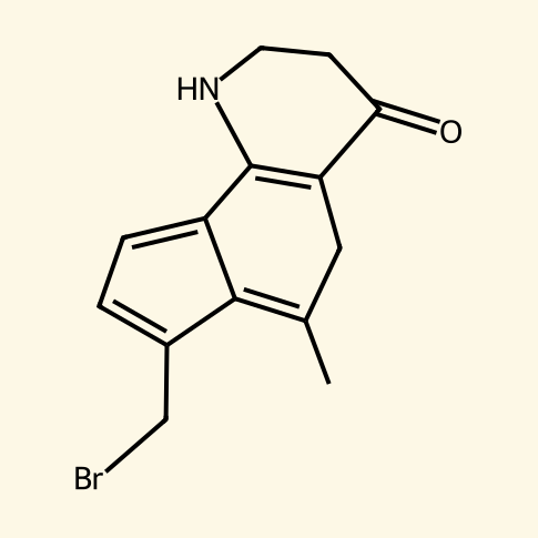 CC1=C2C(CBr)=CC=C2C2=C(C1)C(=O)CCN2